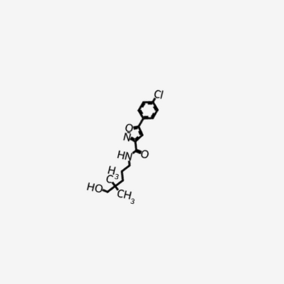 CC(C)(CO)CCCNC(=O)c1cc(-c2ccc(Cl)cc2)on1